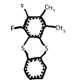 Cc1c(C)c2c(c(F)c1F)Sc1ccccc1S2